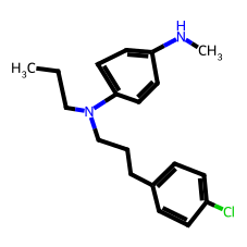 CCCN(CCCc1ccc(Cl)cc1)c1ccc(NC)cc1